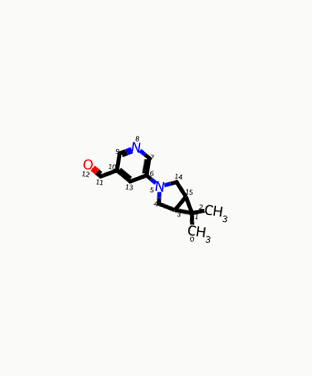 CC1(C)C2CN(c3cncc(C=O)c3)CC21